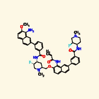 C=CC(=O)Nc1c(OCC2C[C@@H](NC(=O)c3cccc(-c4ccc5ccc(OC)c(N)c5c4)c3)[C@@H](F)CN2C)ccc2ccc(-c3cccc(C(=O)N[C@@H]4CCN(C)C[C@@H]4F)c3)cc12